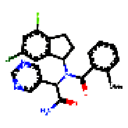 COc1ccccc1C(=O)N([C@@H]1CCc2c(F)cc(Cl)cc21)[C@@H](C(N)=O)c1cncnc1